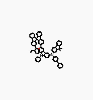 C=Cc1ccccc1-c1ccc2c(c1)C1(c3ccccc3-c3ccc(-c4ccc5c(c4)c4cc(N(c6ccc(-c7ccccc7)cc6)c6ccc7c(c6)C(C)(C)c6ccccc6-7)ccc4n5-c4ccccc4)cc31)c1ccccc1-2